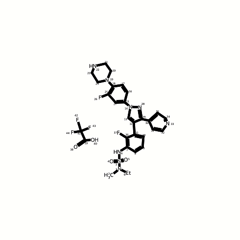 CCN(C)S(=O)(=O)Nc1cccc(-c2cn(-c3ccc(N4CCNCC4)c(F)c3)nc2-c2ccncc2)c1F.O=C(O)C(F)(F)F